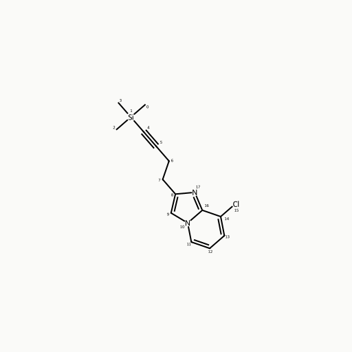 C[Si](C)(C)C#CCCc1cn2cccc(Cl)c2n1